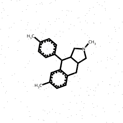 Cc1ccc(C2c3cc(C)ccc3CC3CN(C)CC32)cc1